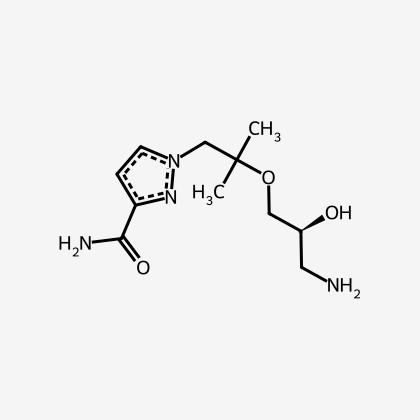 CC(C)(Cn1ccc(C(N)=O)n1)OC[C@@H](O)CN